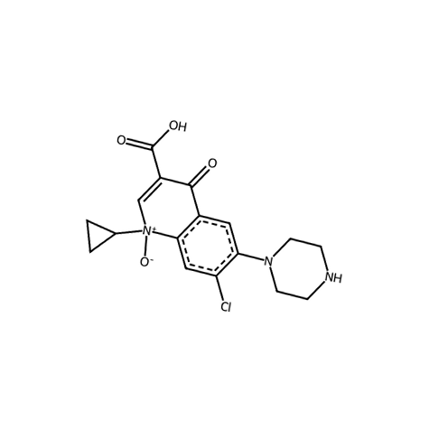 O=C(O)C1=C[N+]([O-])(C2CC2)c2cc(Cl)c(N3CCNCC3)cc2C1=O